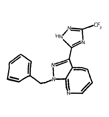 FC(F)(F)c1n[nH]c(-c2nn(Cc3ccccc3)c3ncccc23)n1